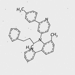 Cc1ccc(-c2cc(N(c3c(C)cccc3-c3c[c]ccn3)C(C)CCc3ccccc3)ccn2)cc1